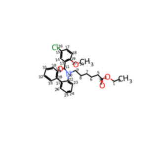 CCOC(=O)CCCCCN(C(=O)c1cc(Cl)ccc1OC)c1ccccc1-c1ccccc1